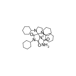 NC(=O)[N+]1(C2CCCCC2)C(=O)N(C2CCCCC2)C(=O)C12N(C1CCCCC1)CCN2C1CCCCC1